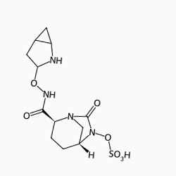 O=C(NOC1CC2CC2N1)[C@@H]1CC[C@@H]2CN1C(=O)N2OS(=O)(=O)O